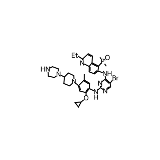 CCc1ccc2c(P(C)(C)=O)c(Nc3nc(Nc4cc(C)c(N5CCC(N6CCNCC6)CC5)cc4OC4CC4)ncc3Br)ccc2n1